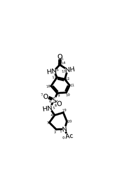 CC(=O)N1CCC(NS(=O)(=O)c2ccc3[nH]c(=O)[nH]c3c2)CC1